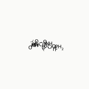 CCOc1cc(NC(=O)[C@@H](NC=O)C(C)C)ccc1S(=O)(=O)Nc1cccc(OC(F)(P)I)c1